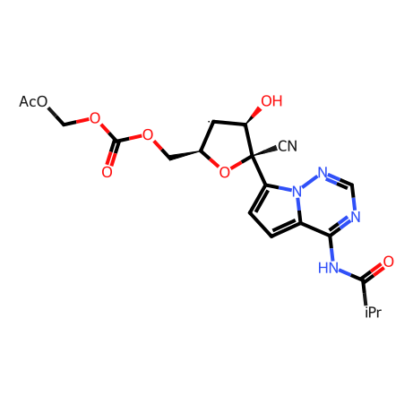 CC(=O)OCOC(=O)OC[C@H]1[CH][C@@H](O)[C@](C#N)(c2ccc3c(NC(=O)C(C)C)ncnn23)O1